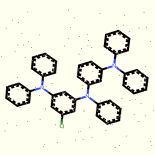 Clc1cc(N(c2ccccc2)c2ccccc2)cc(N(c2ccccc2)c2cccc(N(c3ccccc3)c3ccccc3)c2)c1